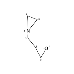 C1OC1CN1CC1